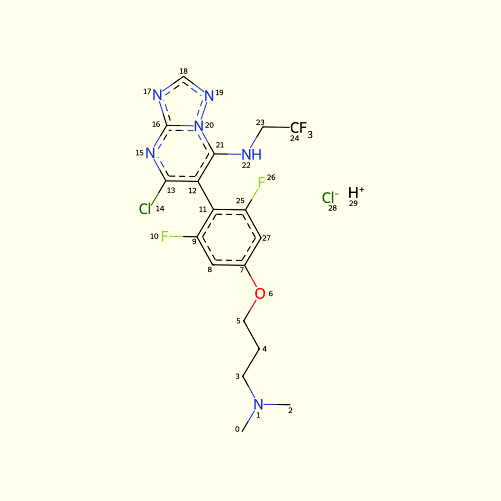 CN(C)CCCOc1cc(F)c(-c2c(Cl)nc3ncnn3c2NCC(F)(F)F)c(F)c1.[Cl-].[H+]